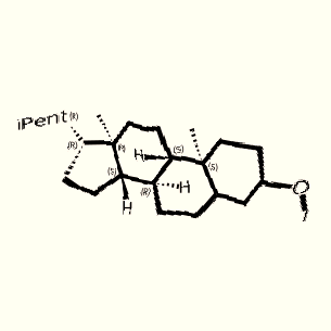 CCC[C@@H](C)[C@H]1CC[C@H]2[C@@H]3CCC4C[C](OI)CC[C@]4(C)[C@H]3CC[C@]12C